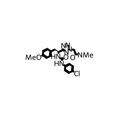 CNC(=O)Cn1nnc([C@H](Cc2ccc(OC)cc2)NC(=O)Nc2ccc(Cl)cc2)n1